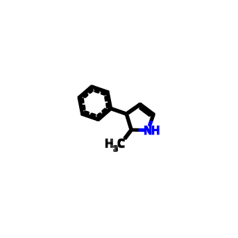 CC1NC=CC1c1ccccc1